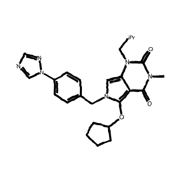 CC(C)Cn1c(=O)n(C)c(=O)c2c(OC3CCCC3)n(Cc3ccc(-n4cncn4)cc3)cc21